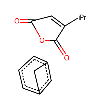 CC(C)C1=CC(=O)OC1=O.c1cc2cc(c1)C2